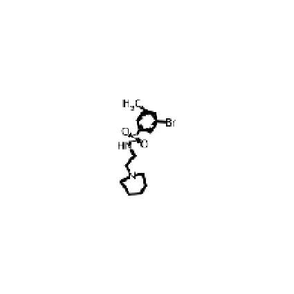 Cc1cc(Br)cc(S(=O)(=O)NCCN2CCCCC2)c1